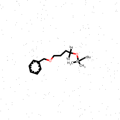 [2H]C([2H])(CCCOCc1ccccc1)O[Si](C)(C)C(C)(C)C